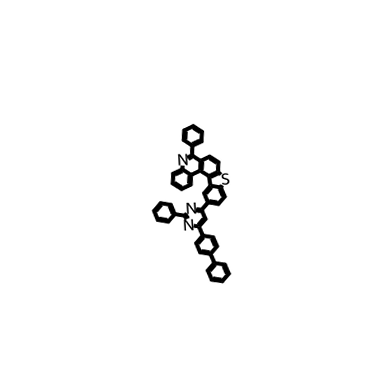 c1ccc(-c2ccc(-c3cc(-c4ccc5sc6ccc7c(-c8ccccc8)nc8ccccc8c7c6c5c4)nc(-c4ccccc4)n3)cc2)cc1